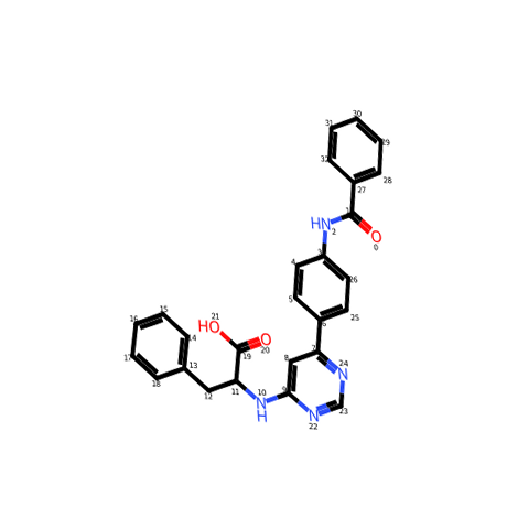 O=C(Nc1ccc(-c2cc(NC(Cc3ccccc3)C(=O)O)ncn2)cc1)c1ccccc1